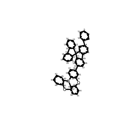 c1ccc(-c2ccc3c(c2)C2(c4ccccc4-c4ccccc42)c2cc(-c4ccc5c(c4)Oc4cccc6c4B5c4ccccc4O6)ccc2-3)cc1